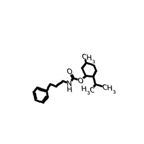 CC1CCC(C(C)C)C(OC(=O)NCCCc2ccccc2)C1